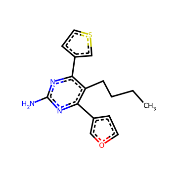 CCCCc1c(-c2ccoc2)nc(N)nc1-c1ccsc1